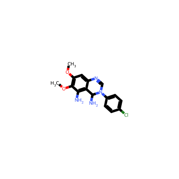 COc1cc2c(c(N)c1OC)C(N)N(c1ccc(Cl)cc1)C=N2